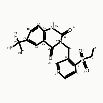 CCS(=O)(=O)c1ccncc1Cn1c(=O)[nH]c2ccc(C(F)(F)F)cc2c1=O